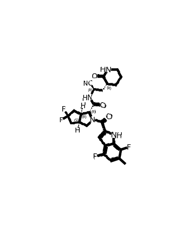 Cc1cc(F)c2cc(C(=O)N3C[C@H]4CC(F)(F)C[C@H]4[C@@H]3C(=O)N[C@@H](C#N)C[C@H]3CCCNC3=O)[nH]c2c1F